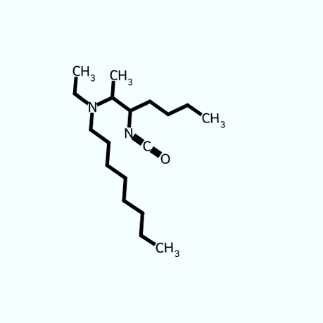 CCCCCCCCN(CC)C(C)C(CCCC)N=C=O